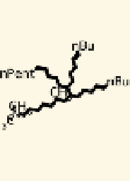 C=C(CCCCCN(C)C)CC(CCC/C=C/CCCC)C(CCC/C=C\CCCCC)CCC/C=C/CCCC